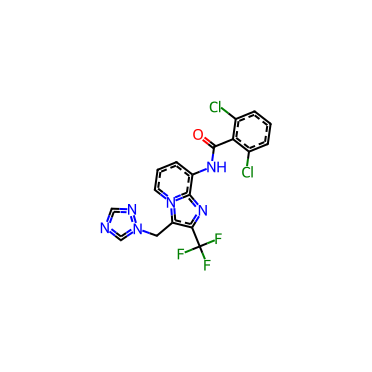 O=C(Nc1cccn2c(Cn3cncn3)c(C(F)(F)F)nc12)c1c(Cl)cccc1Cl